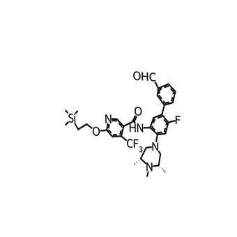 C[C@@H]1CN(c2cc(F)c(-c3cccc(C=O)c3)cc2NC(=O)c2cnc(OCC[Si](C)(C)C)cc2C(F)(F)F)C[C@H](C)N1C